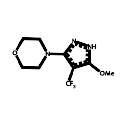 COc1[nH]nc(N2CCOCC2)c1C(F)(F)F